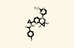 Cc1nccc(N2C[C@@H]3C[C@@H]3c3nc(C4(NC(=O)c5ccc(F)cc5)CC4)ccc32)n1